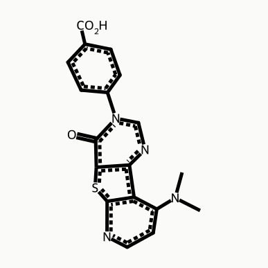 CN(C)c1ccnc2sc3c(=O)n(-c4ccc(C(=O)O)cc4)cnc3c12